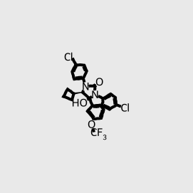 O=C1N(c2ccc(Cl)cc2)[C@H](C2CCC2)C(O)(c2cccc(OC(F)(F)F)c2)N1c1ccc(Cl)cc1